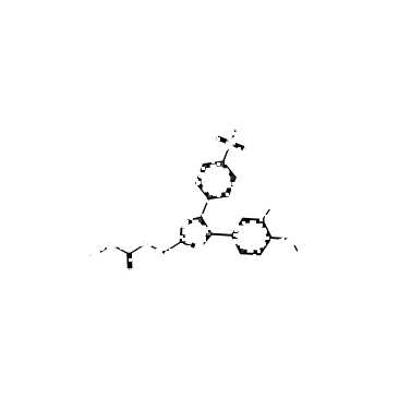 COc1ccc(-c2nc(CNC(=O)NO)oc2-c2ccc(S(N)(=O)=O)cc2)cc1Cl